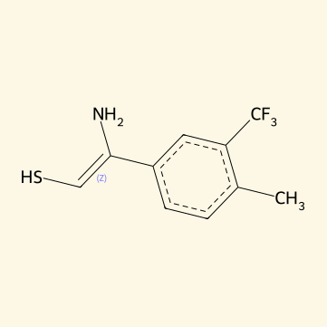 Cc1ccc(/C(N)=C/S)cc1C(F)(F)F